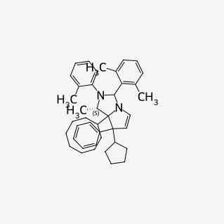 Cc1ccccc1N1C(c2c(C)cccc2C)N2C=CC(c3ccccc3)(C3CCCC3)C2(C2CCCCCCC2)[C@@H]1C